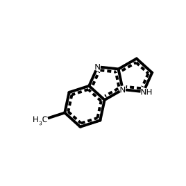 Cc1ccc2c(c1)nc1cc[nH]n12